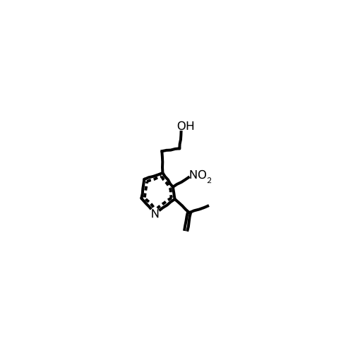 C=C(C)c1nccc(CCO)c1[N+](=O)[O-]